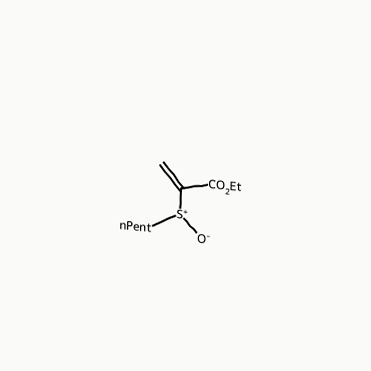 C=C(C(=O)OCC)[S+]([O-])CCCCC